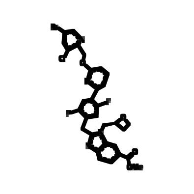 COC(=O)c1ccc2nc(Cc3cc(F)c(-c4cccc(OCc5ncc(Br)cc5Cl)n4)cc3F)n(C[C@@H]3CCO3)c2c1